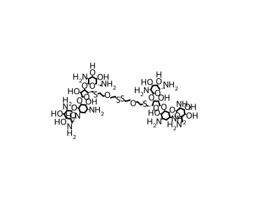 NCC1O[C@H](O[C@@H]2C(N)C[C@@H](N)[C@@H](O)C2O[C@@H]2O[C@H](CSCCOCCSSCCOCCSC[C@H]3O[C@@H](OC4[C@H](O[C@H]5OC(CN)[C@@H](O)C(O)[C@@H]5N)C(N)C[C@@H](N)[C@H]4O)[C@@H](O)[C@H]3OC3O[C@@H](CN)C(O)[C@@H](O)[C@H]3N)[C@H](OC3O[C@@H](CN)C(O)[C@@H](O)[C@H]3N)[C@@H]2O)[C@@H](N)C(O)[C@@H]1O